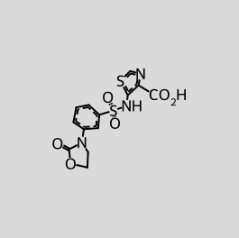 O=C(O)c1ncsc1NS(=O)(=O)c1cccc(N2CCOC2=O)c1